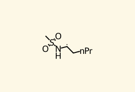 CCCC[CH]NS(C)(=O)=O